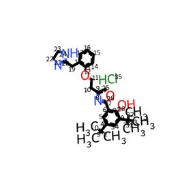 CC(C)(C)c1cc(-c2nc(CCOc3ccccc3CC3=NCCN3)co2)c(O)c(C(C)(C)C)c1.Cl